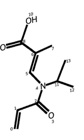 C=CC(=O)N(C=C(C)C(=O)O)C(C)C